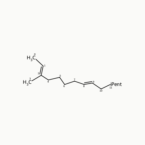 CC=C(C)CCCCC=CCC(C)CCC